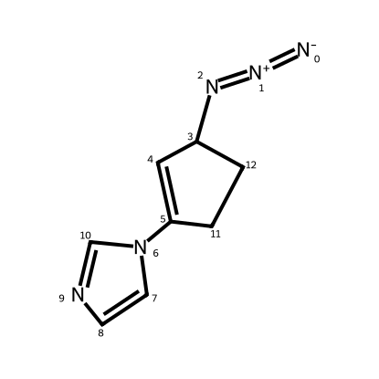 [N-]=[N+]=NC1C=C(n2ccnc2)CC1